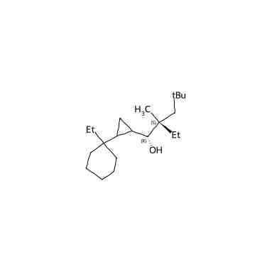 CCC1(C2CC2[C@@H](O)[C@@](C)(CC)CC(C)(C)C)CCCCC1